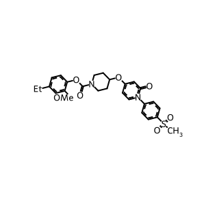 CCc1ccc(OC(=O)N2CCC(Oc3ccn(-c4ccc(S(C)(=O)=O)cc4)c(=O)c3)CC2)c(OC)c1